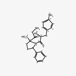 NCC(=O)C1(C(=O)O)CCC(c2ccccc2)N1C(=O)C(S)Cc1ccc(N)cc1